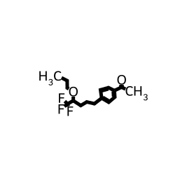 CCCOC(CCCc1ccc(C(C)=O)cc1)C(F)(F)F